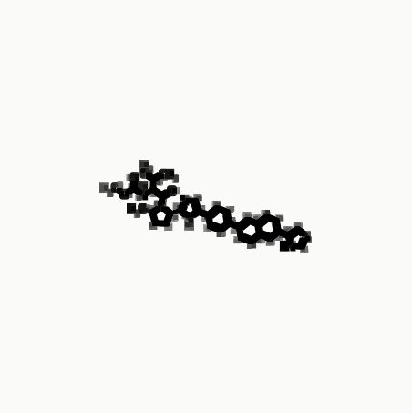 COC(=O)N[C@H](C(=O)N1[C@@H](C)CC[C@H]1c1ncc(-c2ccc(-c3ccc4cc(-c5cnc[nH]5)ccc4c3)cc2)[nH]1)C(C)C